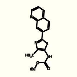 CC(C)(C)OC(=O)Nc1sc(-c2ccc3cccnc3c2)nc1C(=O)O